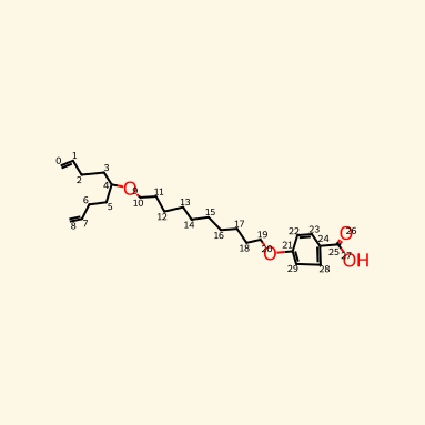 C=CCCC(CCC=C)OCCCCCCCCCCOc1ccc(C(=O)O)cc1